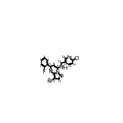 Fc1ccccc1-c1cc(NCc2ccc(Cl)nc2)n2ncc(Br)c2n1